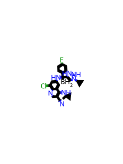 BC(Nc1cc(Cl)c2ncc(C#N)c(NC3(C)CC3)c2c1)(C1=CN(C2CC2)NN1)c1ccc(F)cc1